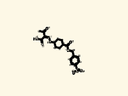 CC(=O)C(=NOC1CCC(C(=O)OCc2ccc([N+](=O)[O-])cc2)CC1)C(=O)O